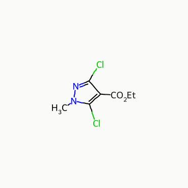 CCOC(=O)c1c(Cl)nn(C)c1Cl